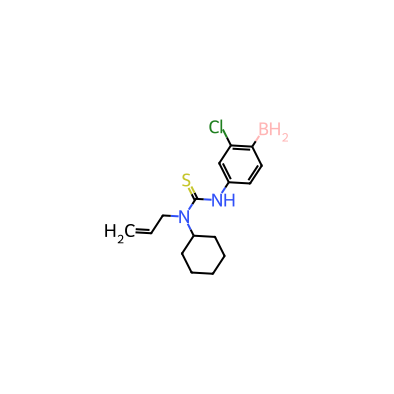 Bc1ccc(NC(=S)N(CC=C)C2CCCCC2)cc1Cl